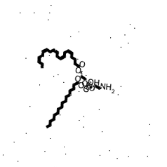 CC/C=C\C/C=C\C/C=C\C/C=C\C/C=C\CCCC(=O)OC[C@H](COP(=O)(O)OCCN)OC(=O)CCCCCCCCCCCCCCC